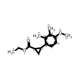 CCOC(=O)C1CC1c1ccc(OC)c(C)c1C